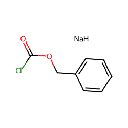 O=C(Cl)OCc1ccccc1.[NaH]